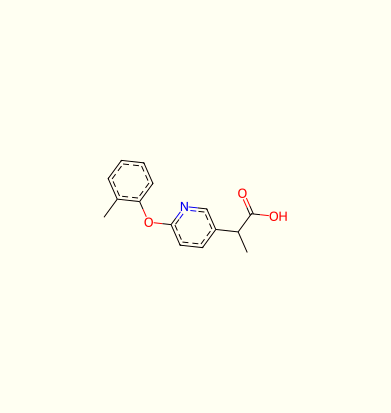 Cc1ccccc1Oc1ccc(C(C)C(=O)O)cn1